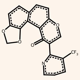 O=c1c(-c2ncccc2C(F)(F)F)coc2ccc3ccc4c(c3c12)OCO4